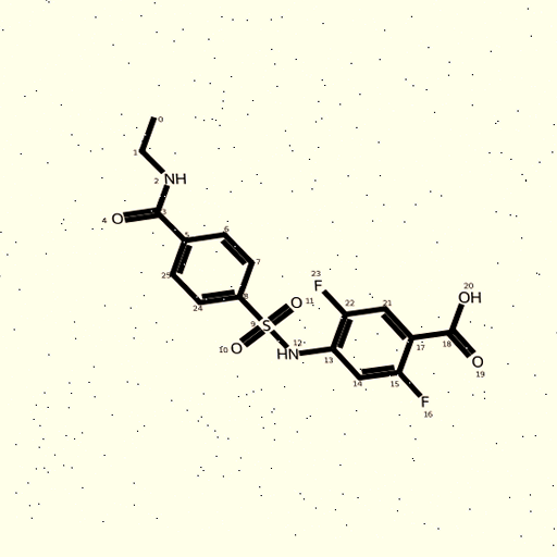 CCNC(=O)c1ccc(S(=O)(=O)Nc2cc(F)c(C(=O)O)cc2F)cc1